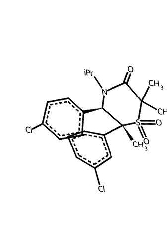 CC(C)N1C(=O)C(C)(C)S(=O)(=O)[C@](C)(c2cccc(Cl)c2)[C@H]1c1ccc(Cl)cc1